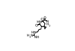 C[C@]1(C(N)=O)CC2(CC2)[C@@H](CCCNC(=N)N)C(=O)N1